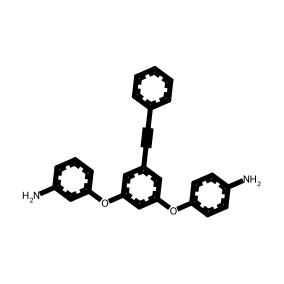 Nc1ccc(Oc2cc(C#Cc3ccccc3)cc(Oc3cccc(N)c3)c2)cc1